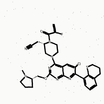 C=C(F)C(=O)N1CCN(c2nc(OC[C@@H]3CCCN3C)nc3nc(-c4cccc5c4SCCC5)c(Cl)cc23)C[C@@H]1CC#N